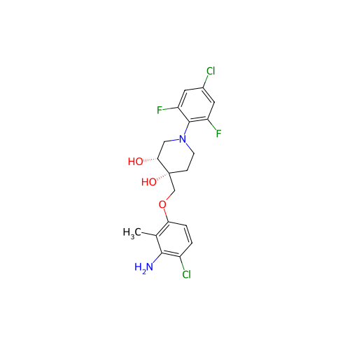 Cc1c(OC[C@]2(O)CCN(c3c(F)cc(Cl)cc3F)C[C@H]2O)ccc(Cl)c1N